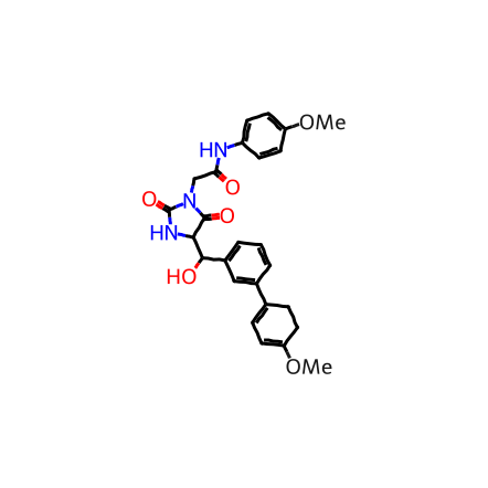 COC1=CC=C(c2cccc(C(O)C3NC(=O)N(CC(=O)Nc4ccc(OC)cc4)C3=O)c2)CC1